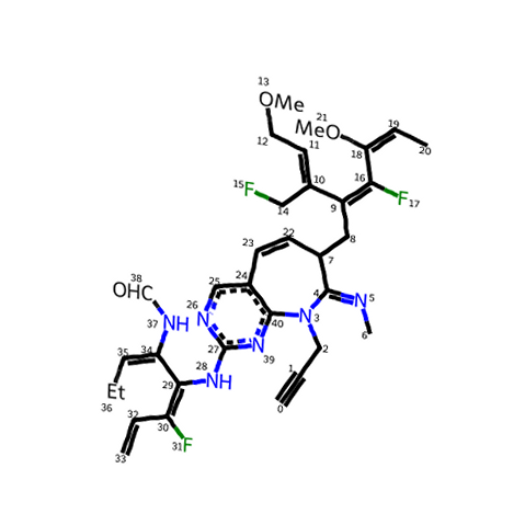 C#CCN1/C(=N\C)C(CC(/C(=C/COC)CF)=C(F)/C(=C\C)OC)C=Cc2cnc(NC(=C(\F)C=C)/C(=C\CC)NC=O)nc21